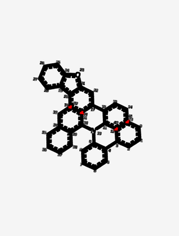 c1ccc(-c2ccccc2N(c2ccccc2-c2ccc3c(c2)oc2ccccc23)c2cccc3ccccc23)cc1